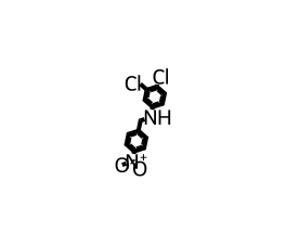 O=[N+]([O-])c1ccc(CNc2ccc(Cl)c(Cl)c2)cc1